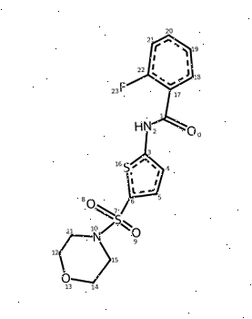 O=C(Nc1ccc(S(=O)(=O)N2CCOCC2)s1)c1ccccc1F